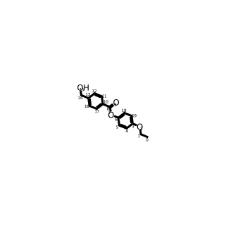 CCOc1ccc(OC(=O)c2ccc(CO)cc2)cc1